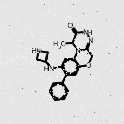 CC1C(=O)NN=C2COc3cc(-c4ccccc4)c(NC4CNC4)cc3N21